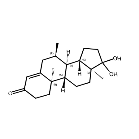 C[C@@H]1CC2=CC(=O)CC[C@]2(C)[C@H]2CC[C@@]3(C)[C@@H](CCC3(O)O)[C@H]12